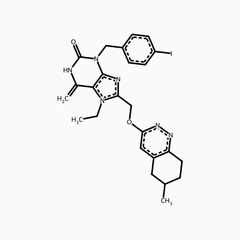 C=C1NC(=O)N(Cc2ccc(I)cc2)c2nc(COc3cc4c(nn3)CCC(C)C4)n(CC)c21